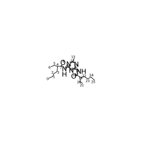 CCCCC(CC)C(=O)Nc1nc(C)nc(NC(=O)C(CC)CCCC)n1